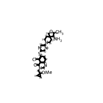 COC1(Cn2cnc3ccc(Sc4cnc(N5CCC6(CC5)CO[C@@H](C)[C@H]6N)cn4)c(Cl)c3c2=O)CC1